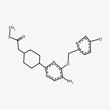 COC(=O)CC1CCC(c2ncc(P)c(OCc3ccc(Cl)cn3)n2)CC1